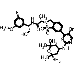 BC1(B)CC(Nc2ncc(Br)c(-c3ccc4c(c3)S(=O)(=O)N([C@H](C)C(=O)N[C@H](CO)c3cc(F)cc(OC)c3)C4)n2)CC(B)(B)O1